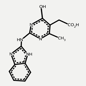 Cc1nc(Nc2nc3ccccc3[nH]2)nc(O)c1CC(=O)O